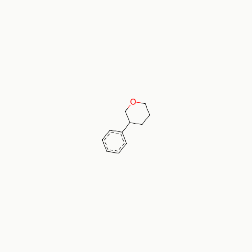 c1ccc(C2CCCOC2)cc1